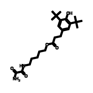 CC(C)(C)c1cc(CCC(=O)OCCCCCNC(=O)C(N)=O)cc(C(C)(C)C)c1O